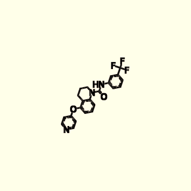 O=C(Nc1cccc(C(F)(F)F)c1)N1CCCc2c(Oc3ccncc3)cccc21